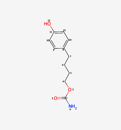 NC(=O)OCCCCc1ccc(O)cc1